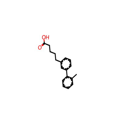 Cc1ccccc1-c1cccc(CCCCC(=O)O)c1